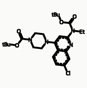 CCN(C(=O)OC(C)(C)C)c1cc(N2CCN(C(=O)OC(C)(C)C)CC2)c2ccc(Cl)cc2n1